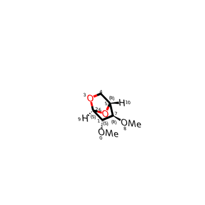 CO[C@@H]1[C@H]2OC[C@@H](O2)[C@H]1OC